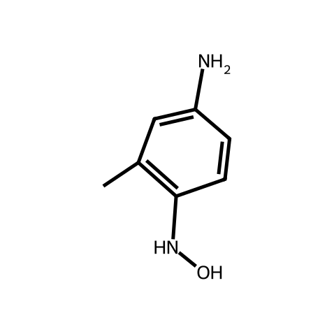 Cc1cc(N)ccc1NO